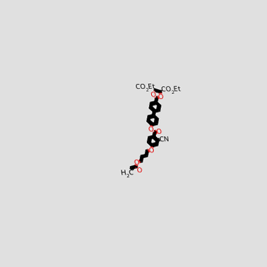 C=CC(=O)OCCCCOc1ccc(C(=O)Oc2ccc(-c3ccc(C4O[C@@H](C(=O)OCC)[C@H](C(=O)OCC)O4)cc3)cc2)c(C#N)c1